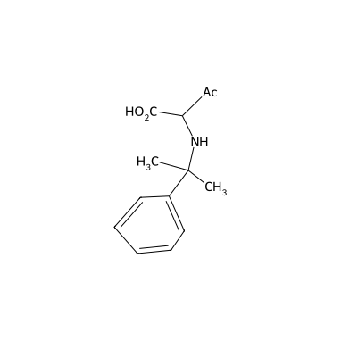 CC(=O)C(NC(C)(C)c1ccccc1)C(=O)O